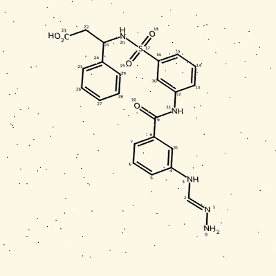 NN=CNc1cccc(C(=O)Nc2cccc(S(=O)(=O)NC(CC(=O)O)c3ccccc3)c2)c1